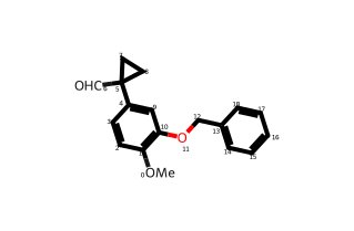 COc1ccc(C2(C=O)CC2)cc1OCc1ccccc1